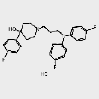 Cl.OC1(c2ccc(F)cc2)CCN(CCCN(c2ccc(F)cc2)c2ccc(F)cc2)CC1